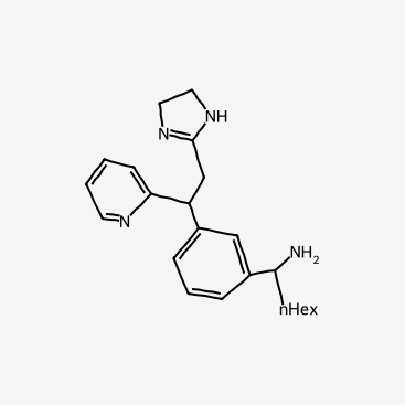 CCCCCCC(N)c1cccc(C(CC2=NCCN2)c2ccccn2)c1